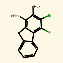 CCCCCCc1c(Br)c(Br)c2c(c1CCCCCC)Cc1ccccc1-2